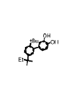 CCC(C)(C)c1ccc(C(C)(C)C)c(-c2ccc(O)c(O)c2)c1